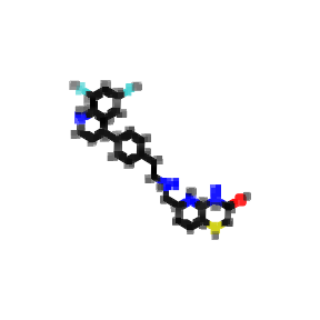 O=C1CSc2ccc(CNCCc3ccc(-c4ccnc5c(F)cc(F)cc45)cc3)nc2N1